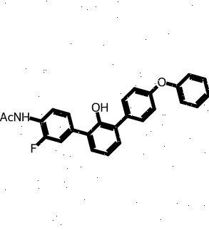 CC(=O)Nc1ccc(-c2cccc(-c3ccc(Oc4ccccc4)cc3)c2O)cc1F